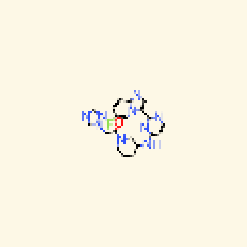 O=C(Cn1cncn1)N1CCCC(Nc2ccnc(-c3cnc4ccc(F)cn34)n2)C1